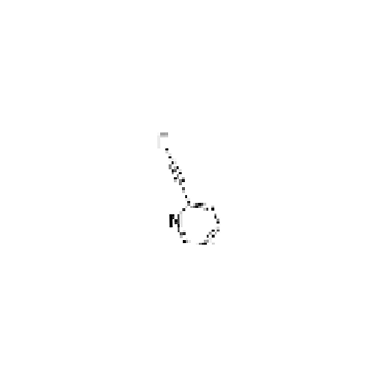 FC#Cc1cc[c]cn1